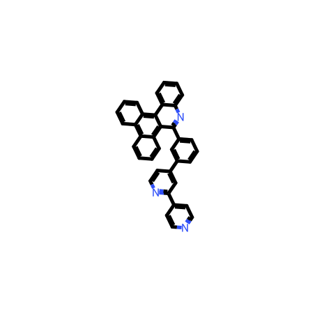 c1cc(-c2ccnc(-c3ccncc3)c2)cc(-c2nc3ccccc3c3c4ccccc4c4ccccc4c23)c1